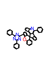 c1ccc(-c2nc(-c3ccccc3)nc(-c3cccc4c3Oc3ccccc3C43c4ccccc4-c4c(-c5ccccc5)nc5ccccc5c43)n2)cc1